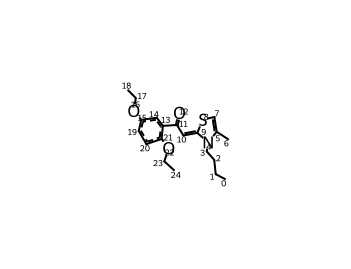 CCCCN1C(C)=CSC1=CC(=O)c1cc(OCC)ccc1OCC